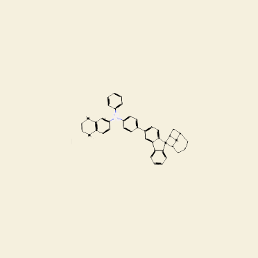 CC1(C)CCC(C)(C)c2cc(N(c3ccccc3)c3ccc(-c4ccc5c(c4)-c4ccccc4C54C5CC6CC7CC4C75C6)cc3)ccc21